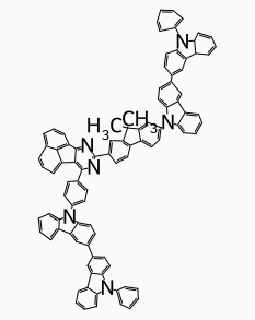 CC1(C)c2cc(-c3nc(-c4ccc(-n5c6ccccc6c6cc(-c7ccc8c(c7)c7ccccc7n8-c7ccccc7)ccc65)cc4)c4c(n3)-c3cccc5cccc-4c35)ccc2-c2ccc(-n3c4ccccc4c4cc(-c5ccc6c(c5)C5C=CC=CC5N6c5ccccc5)ccc43)cc21